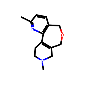 Cc1ccc2c(n1)C1=C(COC2)CN(C)CC1